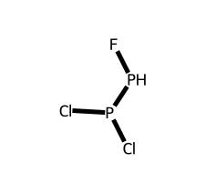 FPP(Cl)Cl